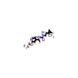 CC(NC(=O)NCCC1(C(F)(F)F)CC1)c1ccnc(OCC(F)(F)F)c1